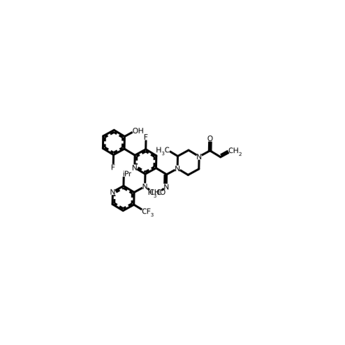 C=CC(=O)N1CCN(/C(=N/C)c2cc(F)c(-c3c(O)cccc3F)nc2N(C=O)c2c(C(F)(F)F)ccnc2C(C)C)C(C)C1